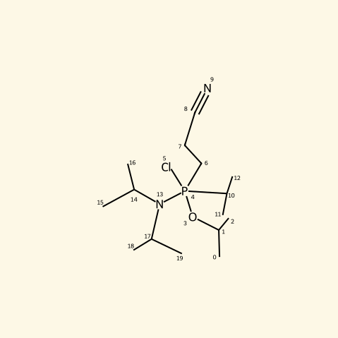 CC(C)OP(Cl)(CCC#N)(C(C)C)N(C(C)C)C(C)C